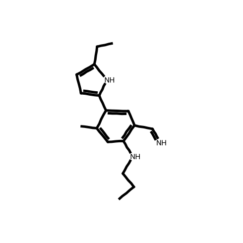 CCCNc1cc(C)c(-c2ccc(CC)[nH]2)cc1C=N